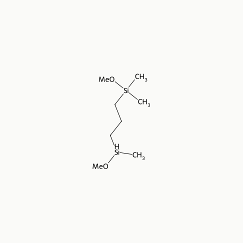 CO[SiH](C)CCC[Si](C)(C)OC